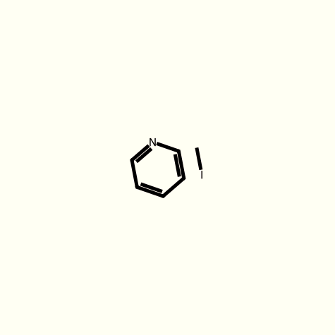 CI.c1ccncc1